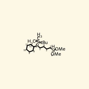 CO[SiH](CCCCN(C1CCCCC1)[Si](C)(C)C(C)(C)C)OC